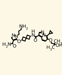 CC(C)(O)COc1ccc2c(C(=O)N[C@H]3CC4(C3)C[C@H](Oc3c(C(N)=O)cnn3CCCN)C4)cnn2c1C1CC1